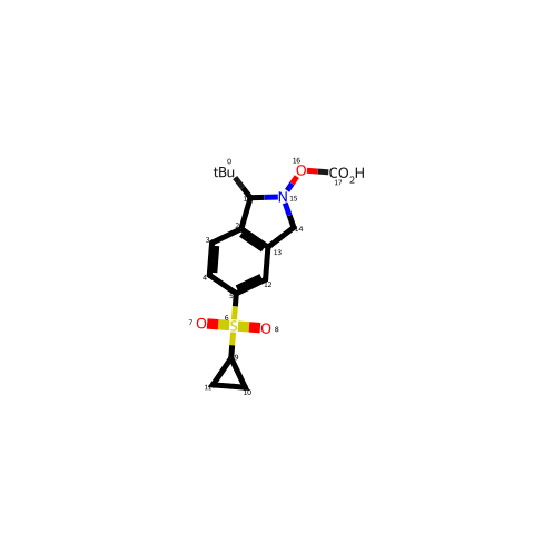 CC(C)(C)C1c2ccc(S(=O)(=O)C3CC3)cc2CN1OC(=O)O